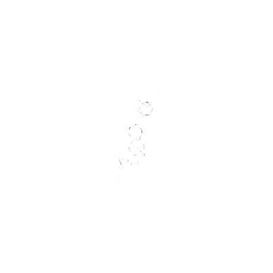 CCc1cc(C)c(-c2ccc3cc(NC(=O)C4CC4)ncc3c2)cn1